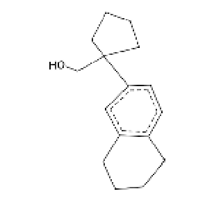 OCC1(c2ccc3c(c2)CCCC3)CCCC1